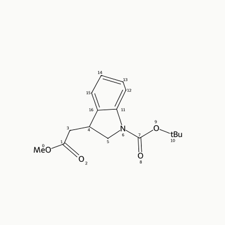 COC(=O)CC1CN(C(=O)OC(C)(C)C)c2ccccc21